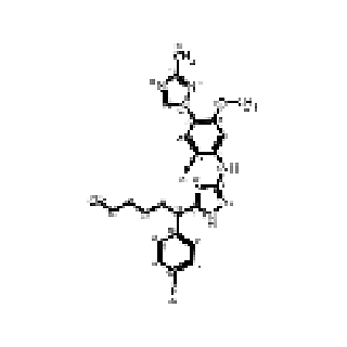 COc1cc(Nc2n[nH]c(C(CCCCCl)c3ccc(F)cc3)n2)c(F)cc1-n1cnc(C)n1